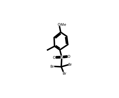 COc1ccc(S(=O)(=O)C(Br)(Br)Br)c(C)c1